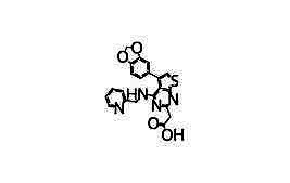 O=C(O)Cc1nc(NCc2ccccn2)c2c(-c3ccc4c(c3)OCO4)csc2n1